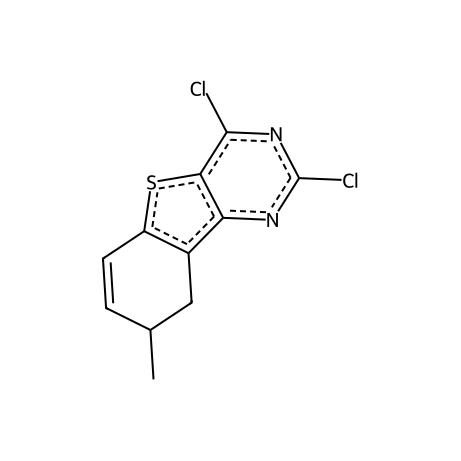 CC1C=Cc2sc3c(Cl)nc(Cl)nc3c2C1